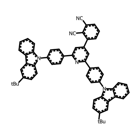 CC(C)(C)c1ccc2c(c1)c1ccccc1n2-c1ccc(-c2cc(-c3cccc(C#N)c3C#N)cc(-c3ccc(-n4c5ccccc5c5cc(C(C)(C)C)ccc54)cc3)n2)cc1